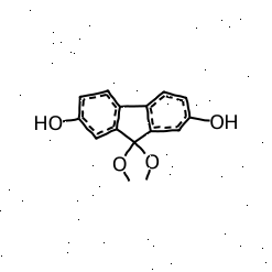 COC1(OC)c2cc(O)ccc2-c2ccc(O)cc21